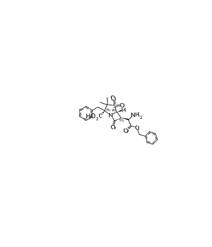 CC1(C)[C@](Cc2ccccc2)(C(=O)O)N2C(=O)[C@H](C(N)C(=O)OCc3ccccc3)[C@H]2S1(=O)=O